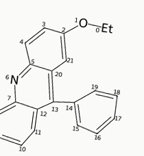 CCOc1ccc2nc3ccccc3c(-c3ccccc3)c2c1